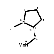 CNC[C@H]1CCCN1I